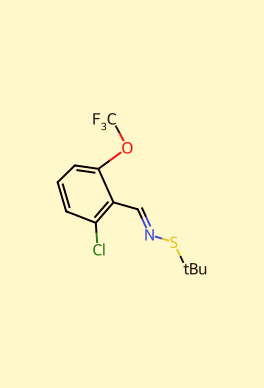 CC(C)(C)S/N=C/c1c(Cl)cccc1OC(F)(F)F